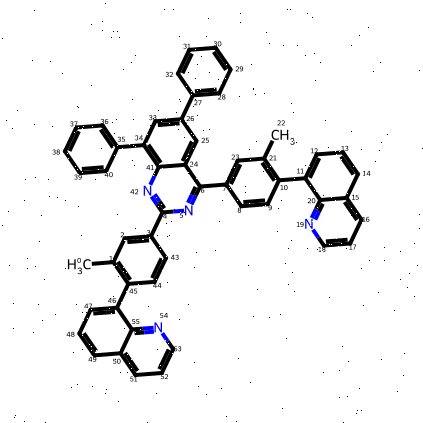 Cc1cc(-c2nc(-c3ccc(-c4cccc5cccnc45)c(C)c3)c3cc(-c4ccccc4)cc(-c4ccccc4)c3n2)ccc1-c1cccc2cccnc12